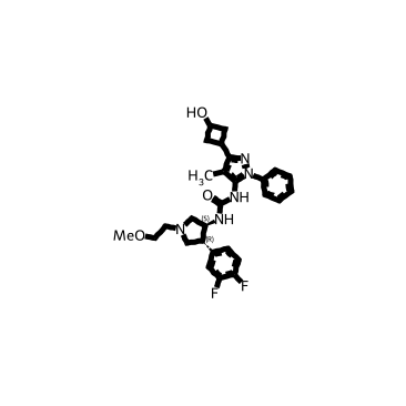 COCCN1C[C@@H](NC(=O)Nc2c(C)c(C3CC(O)C3)nn2-c2ccccc2)[C@H](c2ccc(F)c(F)c2)C1